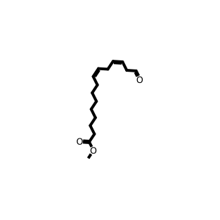 COC(=O)CCCCCCC/C=C\C/C=C\CC=O